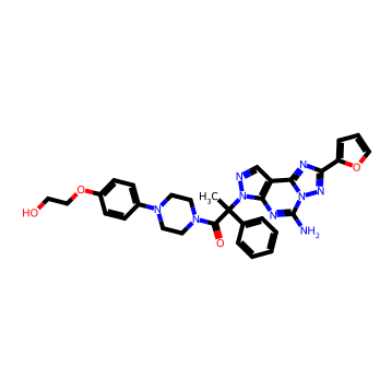 CC(C(=O)N1CCN(c2ccc(OCCO)cc2)CC1)(c1ccccc1)n1ncc2c1nc(N)n1nc(-c3ccco3)nc21